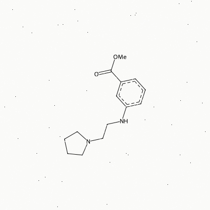 COC(=O)c1cccc(NCCN2CCCC2)c1